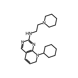 C1=Cc2cnc(NCCN3CCCCC3)nc2N(C2CCCCC2)C1